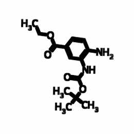 CCOC(=O)c1ccc(N)c(NC(=O)OC(C)(C)C)c1